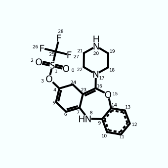 O=S(=O)(OC1=CC=C2Nc3ccccc3OC(N3CCNCC3)=C2C1)C(F)(F)F